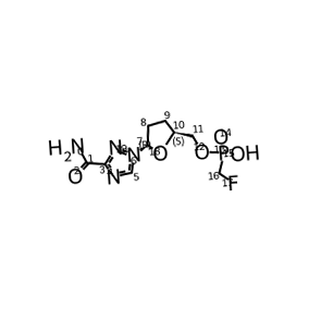 NC(=O)c1ncn([C@H]2CC[C@@H](COP(=O)(O)CF)O2)n1